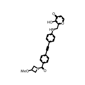 COC1CN(C(=O)c2ccc(C#Cc3ccc(NCc4occc(=O)c4O)cc3)cc2)C1